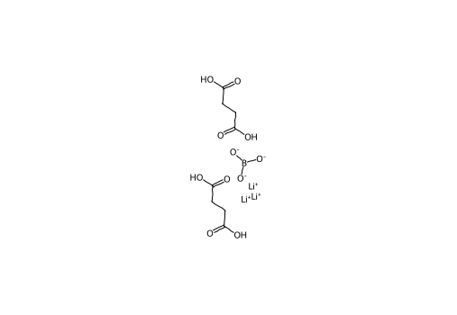 O=C(O)CCC(=O)O.O=C(O)CCC(=O)O.[Li+].[Li+].[Li+].[O-]B([O-])[O-]